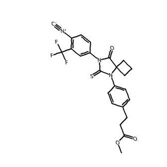 [C-]#[N+]c1ccc(N2C(=O)C3(CCC3)N(c3ccc(CCC(=O)OC)cc3)C2=S)cc1C(F)(F)F